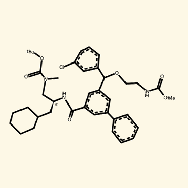 COC(=O)NCCOC(c1cccc(Cl)c1)c1cc(C(=O)N[C@@H](CC2CCCCC2)CN(C)C(=O)OC(C)(C)C)cc(-c2ccccc2)c1